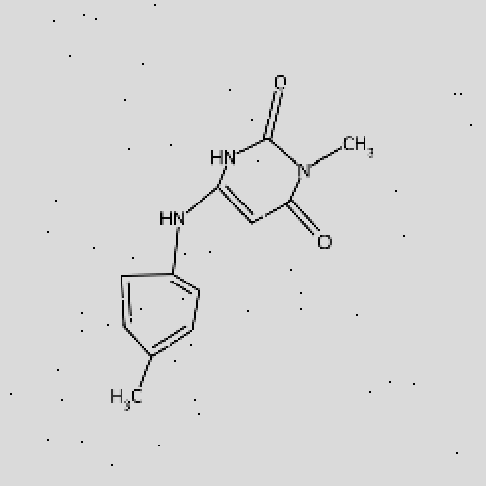 Cc1ccc(Nc2cc(=O)n(C)c(=O)[nH]2)cc1